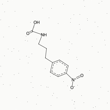 O=C(O)NCCCc1ccc([N+](=O)[O-])cc1